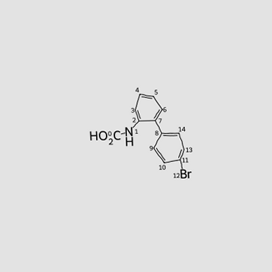 O=C(O)Nc1ccccc1-c1ccc(Br)cc1